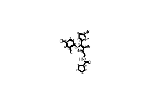 O=C(NCc1nn(-c2ccc(Cl)cc2Cl)c(-c2ccc(Br)[se]2)c1Br)C1CCCC1